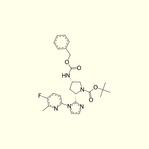 Cc1nc(-n2ccnc2[C@@H]2C[C@H](NC(=O)OCc3ccccc3)CN2C(=O)OC(C)(C)C)ccc1F